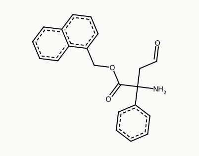 NC(CC=O)(C(=O)OCc1cccc2ccccc12)c1ccccc1